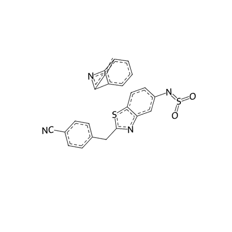 N#Cc1ccc(Cc2nc3cc(N=S(=O)=O)ccc3s2)cc1.c1cc2c3nc-2ccc3c1